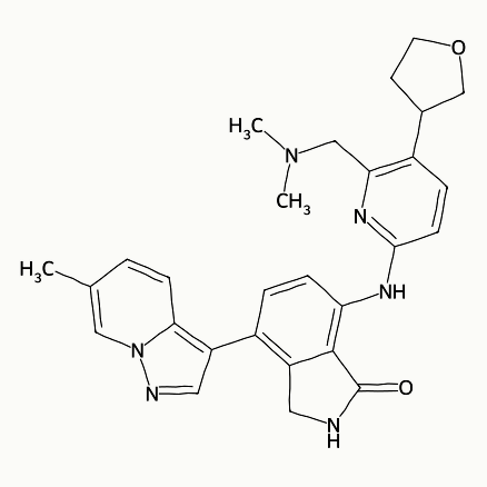 Cc1ccc2c(-c3ccc(Nc4ccc(C5CCOC5)c(CN(C)C)n4)c4c3CNC4=O)cnn2c1